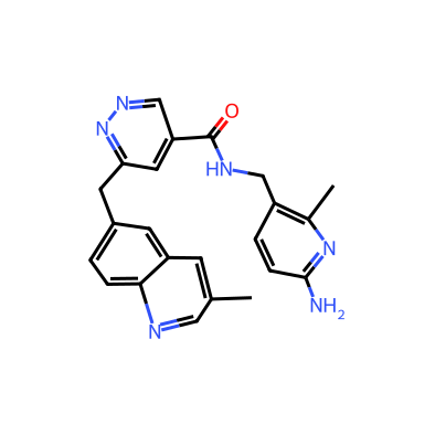 Cc1cnc2ccc(Cc3cc(C(=O)NCc4ccc(N)nc4C)cnn3)cc2c1